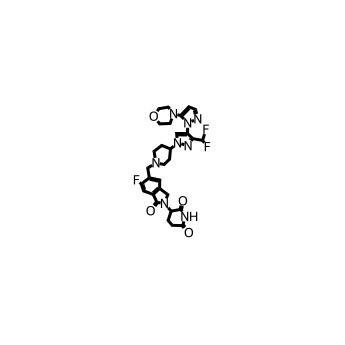 O=C1CCC(N2Cc3cc(CN4CCC(n5cc(-n6nccc6N6CCOCC6)c(C(F)F)n5)CC4)c(F)cc3C2=O)C(=O)N1